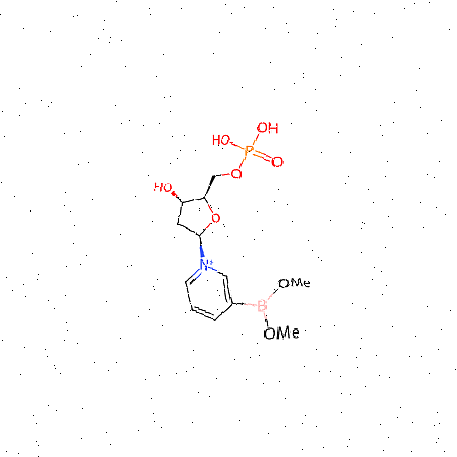 COB(OC)c1ccc[n+]([C@H]2C[C@@H](O)[C@@H](COP(=O)(O)O)O2)c1